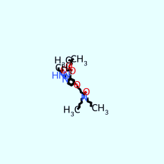 CCCCCN(CCCCC)C(=O)CCCOc1ccc2c(c1)CN(CC(=O)OCC(C)C)C(NC(=O)CC)=N2